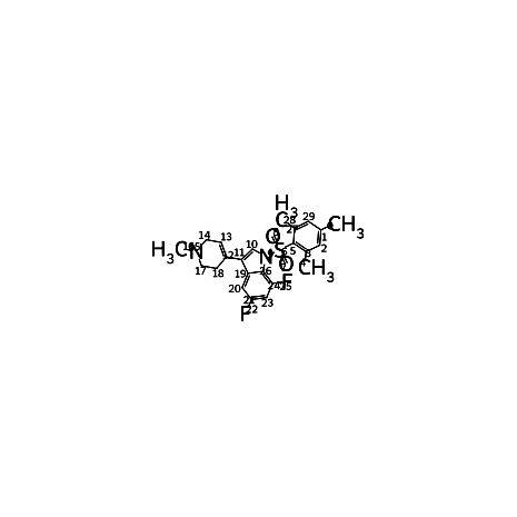 Cc1cc(C)c(S(=O)(=O)n2cc(C3=CCN(C)CC3)c3cc(F)cc(F)c32)c(C)c1